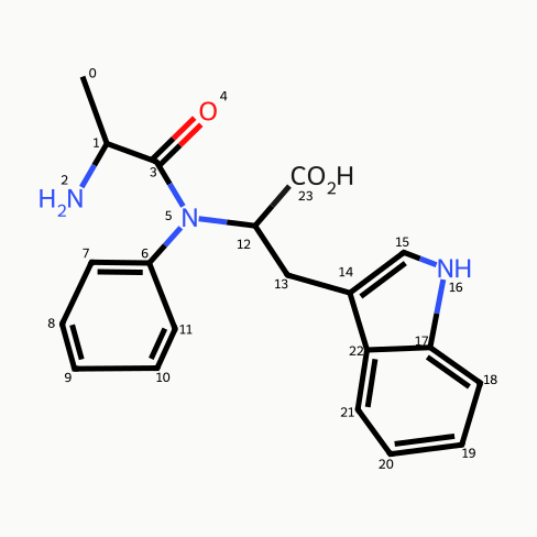 CC(N)C(=O)N(c1ccccc1)C(Cc1c[nH]c2ccccc12)C(=O)O